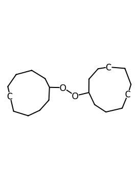 C1CCCCC(OOC2CCCCCCCCC2)CCCC1